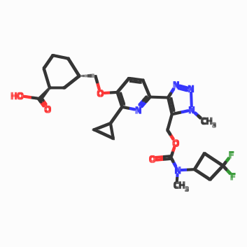 CN(C(=O)OCc1c(-c2ccc(OC[C@H]3CCC[C@H](C(=O)O)C3)c(C3CC3)n2)nnn1C)C1CC(F)(F)C1